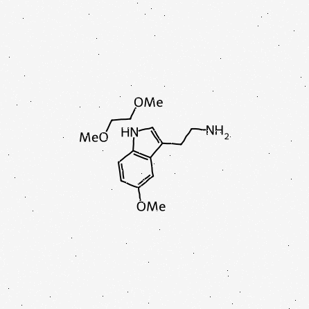 COCCOC.COc1ccc2[nH]cc(CCN)c2c1